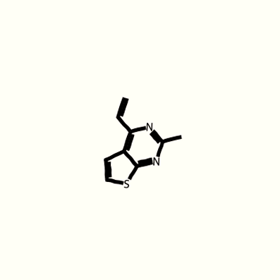 C=Cc1nc(C)nc2sccc12